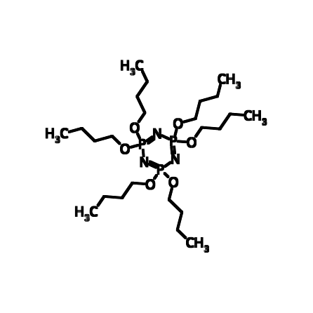 CCCCOP1(OCCCC)=NP(OCCCC)(OCCCC)=NP(OCCCC)(OCCCC)=N1